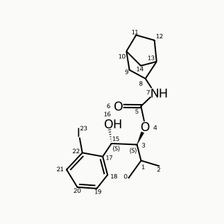 CC(C)[C@H](OC(=O)NC1CC2CCC1C2)[C@@H](O)c1ccccc1I